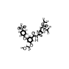 COC[C@H](C)Oc1cc(Oc2ccc(S(C)(=O)=O)cc2)cc(C(=O)Nc2nc(CP(=O)(OC(C)C)OC(C)C)cs2)c1